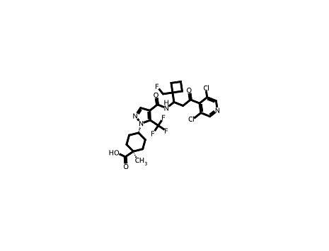 C[C@]1(C(=O)O)CC[C@H](n2ncc(C(=O)NC(CC(=O)c3c(Cl)cncc3Cl)C3(CF)CCC3)c2C(F)(F)F)CC1